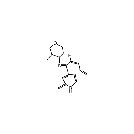 C=N/C=C(F)\C(=N/C1CCOCC1C)C1=CC(=C)NC=C1